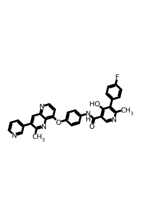 Cc1nc2c(Oc3ccc(NC(=O)c4cnc(C)c(-c5ccc(F)cc5)c4O)cc3)ccnc2cc1-c1cccnc1